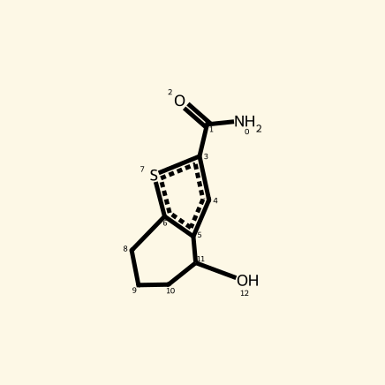 NC(=O)c1cc2c(s1)CCCC2O